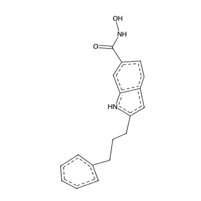 O=C(NO)c1ccc2cc(CCCc3ccccc3)[nH]c2c1